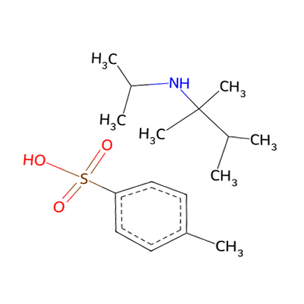 CC(C)NC(C)(C)C(C)C.Cc1ccc(S(=O)(=O)O)cc1